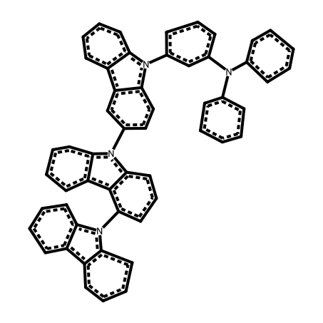 c1ccc(N(c2ccccc2)c2cccc(-n3c4ccccc4c4cc(-n5c6ccccc6c6c(-n7c8ccccc8c8ccccc87)cccc65)ccc43)c2)cc1